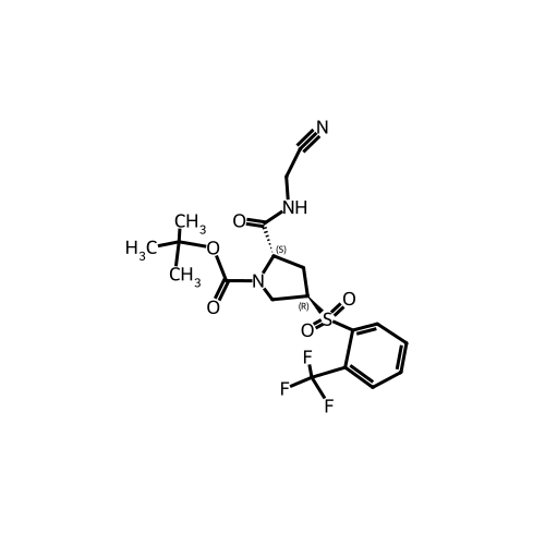 CC(C)(C)OC(=O)N1C[C@H](S(=O)(=O)c2ccccc2C(F)(F)F)C[C@H]1C(=O)NCC#N